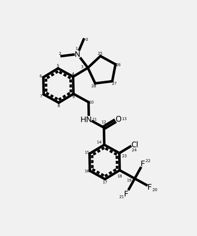 CN(C)C1(c2ccccc2CNC(=O)c2cccc(C(F)(F)F)c2Cl)CCCC1